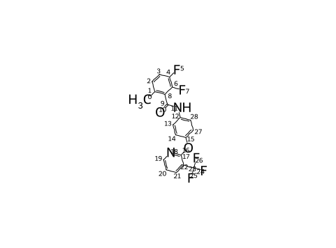 Cc1ccc(F)c(F)c1C(=O)Nc1ccc(Oc2ncccc2C(F)(F)F)cc1